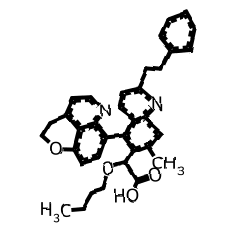 CCCCOC(C(=O)O)c1c(C)cc2nc(CCc3ccccc3)ccc2c1-c1ccc2c3c(ccnc13)CCO2